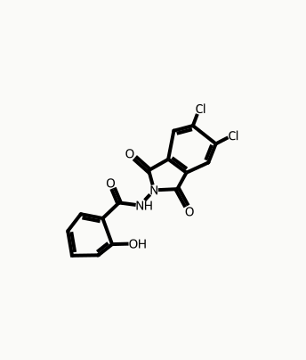 O=C(NN1C(=O)c2cc(Cl)c(Cl)cc2C1=O)c1ccccc1O